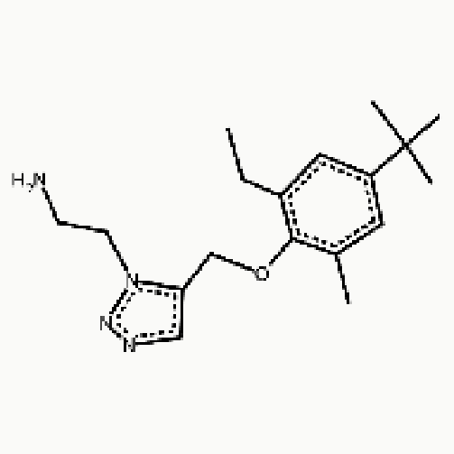 CCc1cc(C(C)(C)C)cc(C)c1OCc1cnnn1CCN